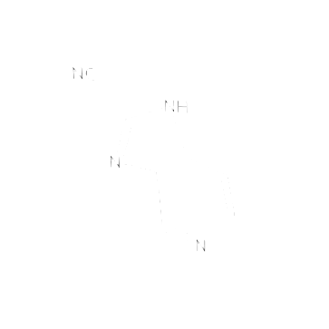 N#Cc1nc2cnccc2[nH]1